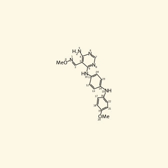 CON=Cc1c(N)ncnc1Nc1ccc(Nc2ccc(OC)cc2)cc1